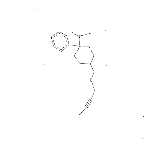 CC#CCOCC1CCC(c2ccccc2)(N(C)C)CC1